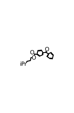 CC(C)CCCOC(=O)c1ccc(C(=O)c2ccccc2)cc1